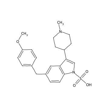 COc1ccc(Cc2ccc3c(c2)c(C2CCN(C)CC2)cn3S(=O)(=O)O)cc1